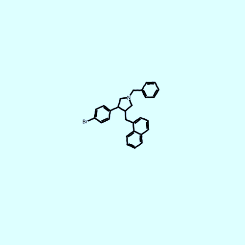 Brc1ccc(C2CN(Cc3ccccc3)CC2Cc2cccc3ccccc23)cc1